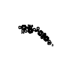 Cn1nc(C2CCC(=O)NC2=O)c2cccc(OCC(=O)N3CCN(S(=O)(=O)c4ccc(OC(F)(F)F)cc4)CC3)c21